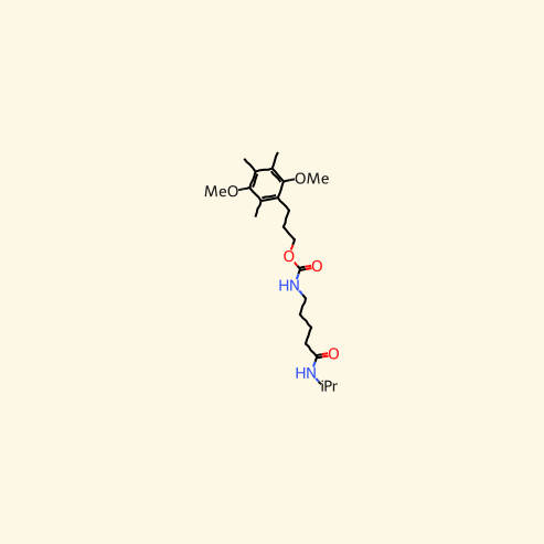 COc1c(C)c(C)c(OC)c(CCCOC(=O)NCCCCC(=O)NC(C)C)c1C